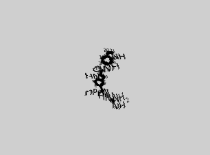 CCCC(=NNC(=N)N)c1ccc2[nH]c(C(=O)Nc3ccc4cc[nH]c4c3)cc2c1